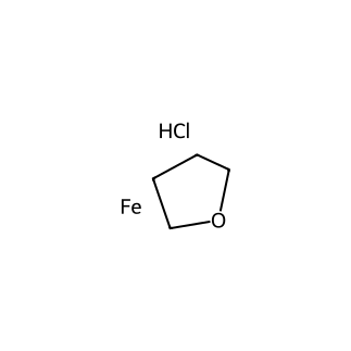 C1CCOC1.Cl.[Fe]